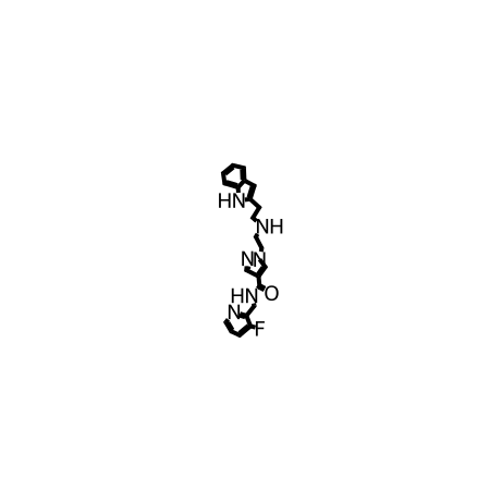 O=C(NCc1ncccc1F)c1cnn(CCNCCc2cc3ccccc3[nH]2)c1